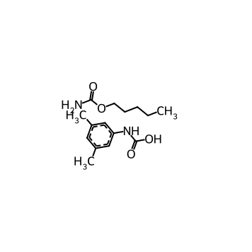 CCCCCOC(N)=O.Cc1cc(C)cc(NC(=O)O)c1